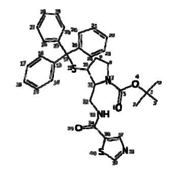 CC(C)(C)OC(=O)N1CCC(SC(c2ccccc2)(c2ccccc2)c2ccccc2)C1CNC(=O)c1cncs1